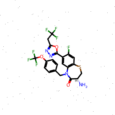 N[C@H]1CSc2cc(F)c(-c3nnc(CC(F)(F)F)o3)cc2N(Cc2ccc(OC(F)(F)F)cc2)C1=O